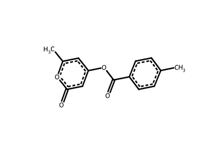 Cc1ccc(C(=O)Oc2cc(C)oc(=O)c2)cc1